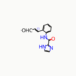 O=[C]/C=C/c1ccccc1NC(=O)c1ncc[nH]1